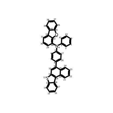 c1ccc(N(c2ccc(-c3cc4sc5ccccc5c4c4ccccc34)cc2)c2cccc3c2oc2ccccc23)cc1